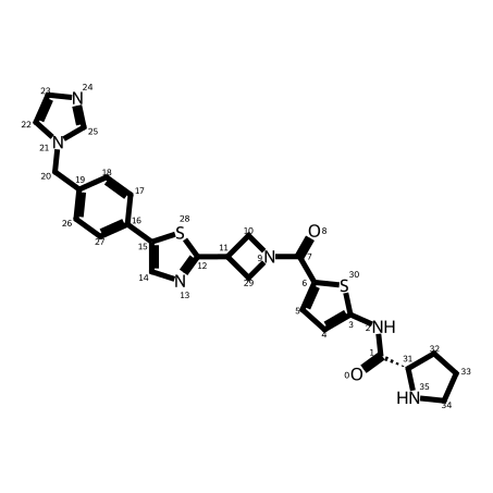 O=C(Nc1ccc(C(=O)N2CC(c3ncc(-c4ccc(Cn5ccnc5)cc4)s3)C2)s1)[C@@H]1CCCN1